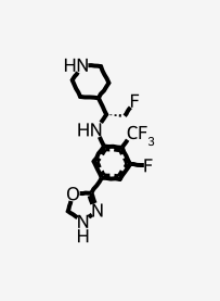 FC[C@H](Nc1cc(C2=NNCO2)cc(F)c1C(F)(F)F)C1CCNCC1